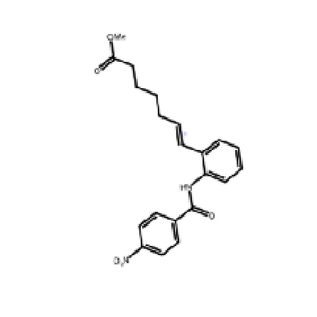 COC(=O)CCCC/C=C/c1ccccc1NC(=O)c1ccc([N+](=O)[O-])cc1